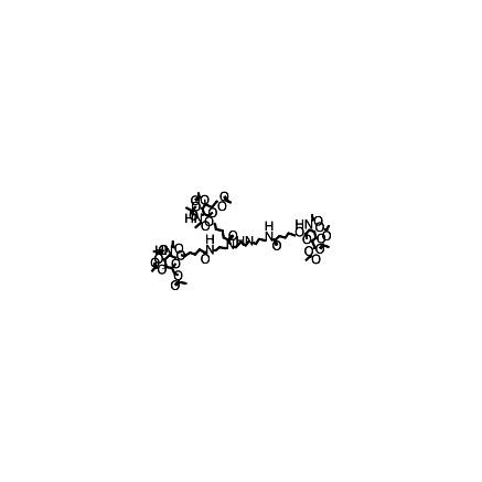 CC(=O)NC1C(OC(C)=O)[C@@H](OC(C)=O)C(COC(C)=O)O[C@H]1OCCCCC(=O)NCCCNCCCN(CCCNC(=O)CCCCO[C@@H]1OC(COC(C)=O)[C@H](OC(C)=O)C(OC(C)=O)[C@@H]1NC(C)=O)C(=O)CCCCO[C@@H]1OC(COC(C)=O)[C@H](OC(C)=O)C(OC(C)=O)C1NC(C)=O